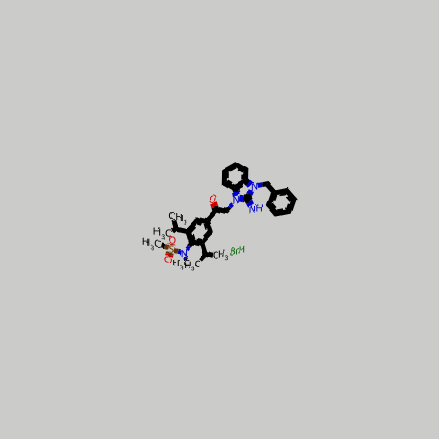 Br.CC(C)c1cc(C(=O)Cn2c(=N)n(Cc3ccccc3)c3ccccc32)cc(C(C)C)c1N(C)S(C)(=O)=O